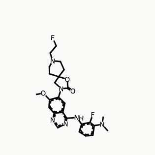 COc1cc2ncnc(Nc3cccc(N(C)C)c3F)c2cc1N1CC2(CCN(CCF)CC2)OC1=O